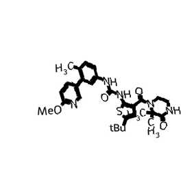 COc1ccc(-c2cc(NC(=O)Nc3sc(C(C)(C)C)cc3C(=O)N3CCNC(=O)C3(C)C)ccc2C)cn1